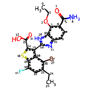 CCOc1c(C(N)=O)ccc2nc(-c3c(C(=O)O)sc4c(F)cc(CC)c(Br)c34)[nH]c12